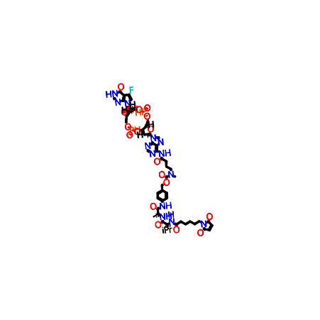 CC(C)[C@H](NC(=O)CCCCCN1C(=O)C=CC1=O)C(=O)N[C@@H](C)C(=O)Nc1ccc(COC(=O)N(C)CCCC(=O)Nc2ncnc3c2ncn3[C@H]2C[C@@H]3O[PH](=O)OCC4O[C@@H](n5cc(F)c6c(=O)[nH]cnc65)[C@H](O[PH](=O)OC[C@H]3O2)[C@@H]4O)cc1